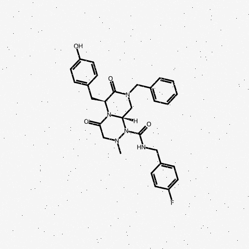 CN1CC(=O)N2[C@@H](Cc3ccc(O)cc3)C(=O)N(Cc3ccccc3)C[C@@H]2N1C(=O)NCc1ccc(F)cc1